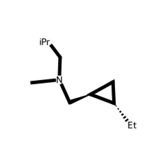 CC[C@H]1C[C@@H]1CN(C)CC(C)C